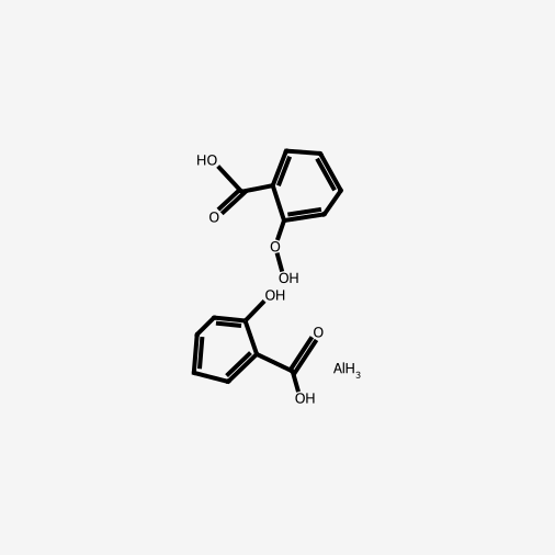 O=C(O)c1ccccc1O.O=C(O)c1ccccc1OO.[AlH3]